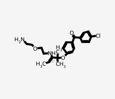 C/C=C(\NCCOCCN)C(C)(C)Oc1ccc(C(=O)c2ccc(Cl)cc2)cc1